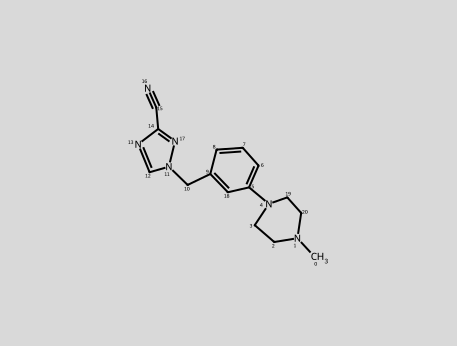 CN1CCN(c2cccc(Cn3cnc(C#N)n3)c2)CC1